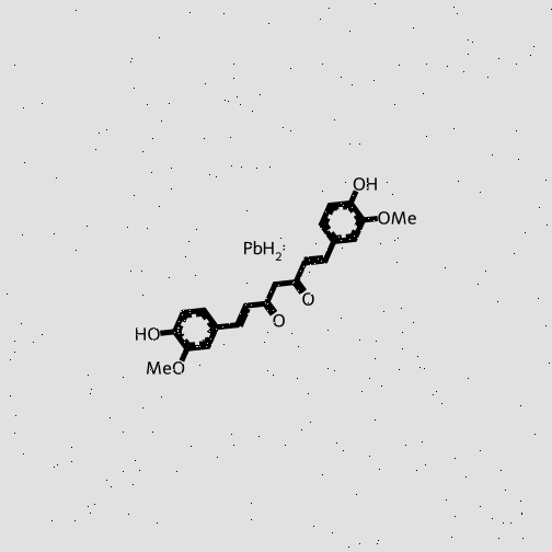 COc1cc(/C=C/C(=O)CC(=O)/C=C/c2ccc(O)c(OC)c2)ccc1O.[PbH2]